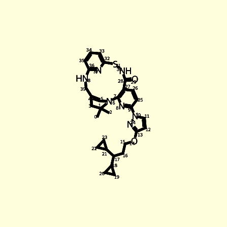 CC1(C)CC2=CN1c1nc(-n3ccc(OCCC(C4CC4)C4CC4)n3)ccc1C(=O)NSc1cccc(n1)NC2